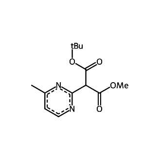 COC(=O)C(C(=O)OC(C)(C)C)c1nccc(C)n1